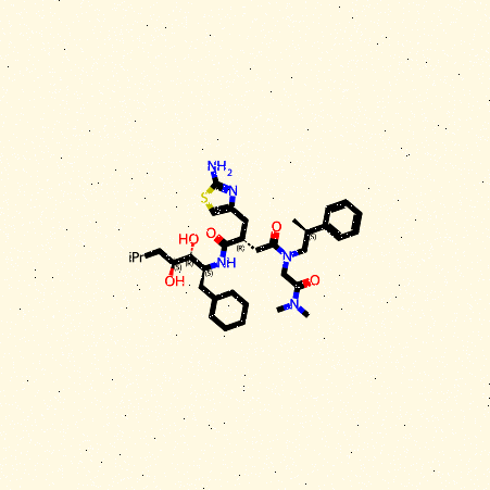 CC(C)C[C@H](O)[C@H](O)[C@H](CC1CCCCC1)NC(=O)[C@@H](CC(=O)N(CC(=O)N(C)C)C[C@@H](C)c1ccccc1)Cc1csc(N)n1